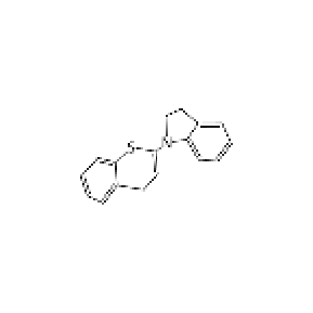 C1=C(N2CCc3ccccc32)Sc2ccccc2C1